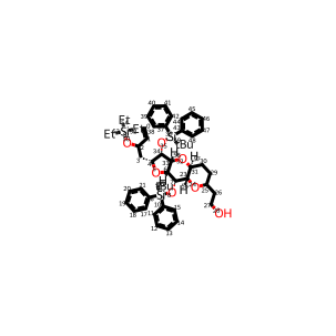 C=CC(C[C@H]1O[C@H]2[C@@H](O[Si](c3ccccc3)(c3ccccc3)C(C)(C)C)[C@H]3OC(CCO)CC[C@@H]3O[C@H]2[C@H]1O[Si](c1ccccc1)(c1ccccc1)C(C)(C)C)O[Si](CC)(CC)CC